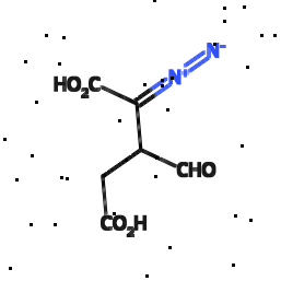 [N-]=[N+]=C(C(=O)O)C(C=O)CC(=O)O